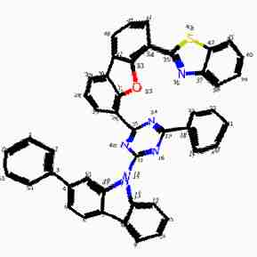 c1ccc(-c2ccc3c4ccccc4n(-c4nc(-c5ccccc5)nc(-c5cccc6c5oc5c(-c7nc8ccccc8s7)cccc56)n4)c3c2)cc1